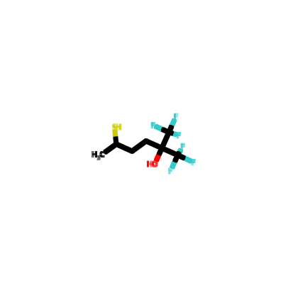 CC(S)CCC(O)(C(F)(F)F)C(F)(F)F